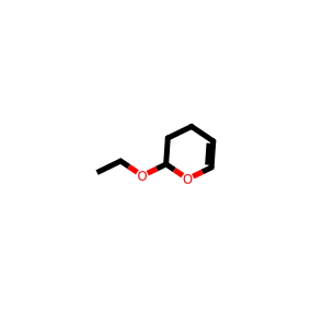 CCOC1CCC=CO1